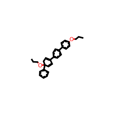 CCCOc1ccc(-c2ccc(C3=CCC(OCCC)(c4ccccc4)C=C3)cc2)cc1